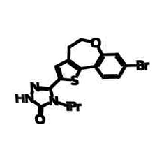 CC(C)n1c(-c2cc3c(s2)-c2ccc(Br)cc2OCC3)n[nH]c1=O